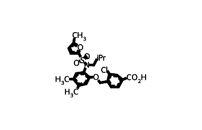 Cc1ccc(S(=O)(=O)N(CC(C)C)c2cc(C)c(C)cc2OCc2ccc(C(=O)O)cc2Cl)o1